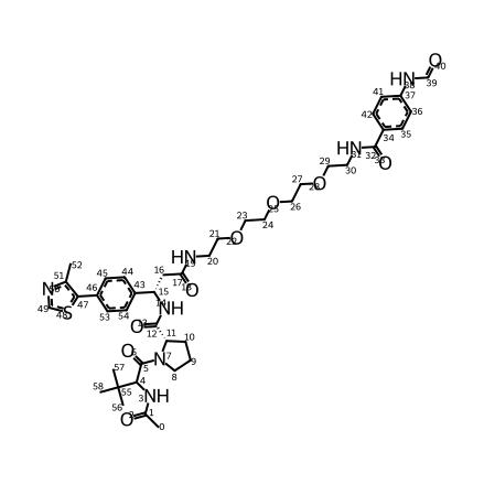 CC(=O)NC(C(=O)N1CCC[C@H]1C(=O)N[C@@H](CC(=O)NCCOCCOCCOCCNC(=O)c1ccc(NC=O)cc1)c1ccc(-c2scnc2C)cc1)C(C)(C)C